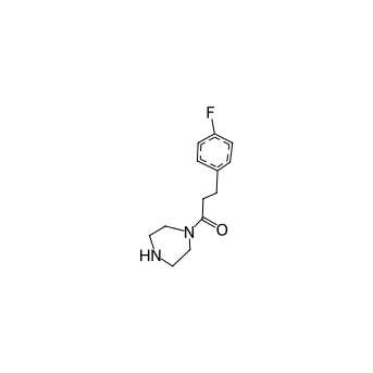 O=C(CCc1ccc(F)cc1)N1CCNCC1